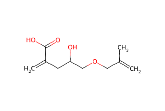 C=C(C)COCC(O)CC(=C)C(=O)O